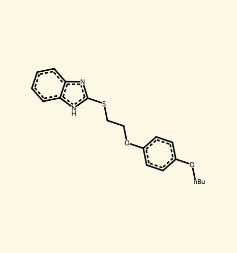 CCCCOc1ccc(OCCSc2nc3ccccc3[nH]2)cc1